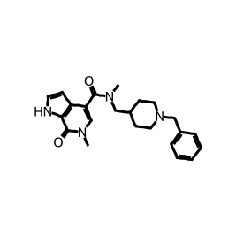 CN(CC1CCN(Cc2ccccc2)CC1)C(=O)c1cn(C)c(=O)c2[nH]ccc12